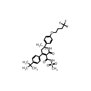 CC(C)(C)c1ccc(C2=C(C(=O)NS(C)(=O)=O)C(=O)N[C@](C)(c3ccc(OCCCC(F)(F)F)cc3)C2)cc1